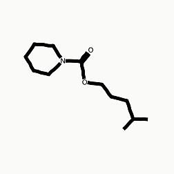 CC(C)CCCOC(=O)N1CCCCC1